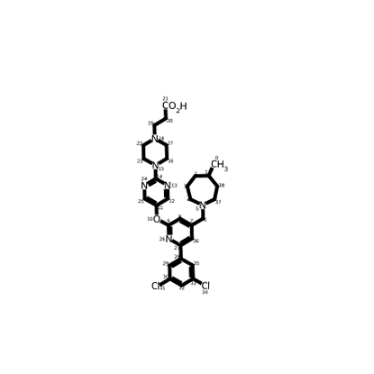 CC1CCCN(Cc2cc(Oc3cnc(N4CCN(CCC(=O)O)CC4)nc3)nc(-c3cc(Cl)cc(Cl)c3)c2)CC1